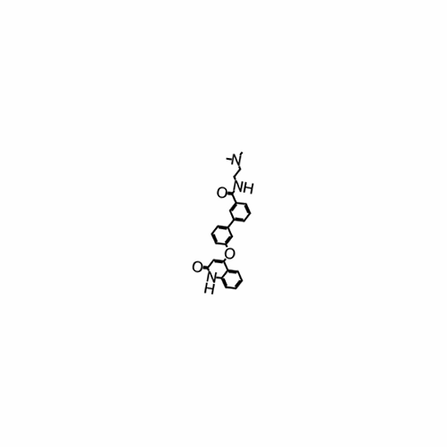 CN(C)CCNC(=O)c1cccc(-c2cccc(Oc3cc(=O)[nH]c4ccccc34)c2)c1